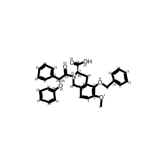 COc1ccc2c(c1OCc1ccccc1)C[C@H](C(=O)O)N(C(=O)[C@H](Oc1ccccc1)c1ccccc1)C2